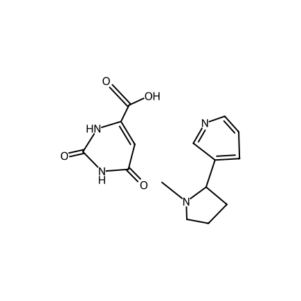 CN1CCCC1c1cccnc1.O=C(O)c1cc(=O)[nH]c(=O)[nH]1